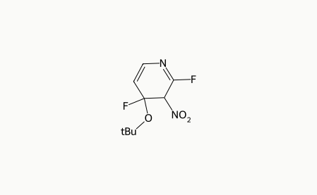 CC(C)(C)OC1(F)C=CN=C(F)C1[N+](=O)[O-]